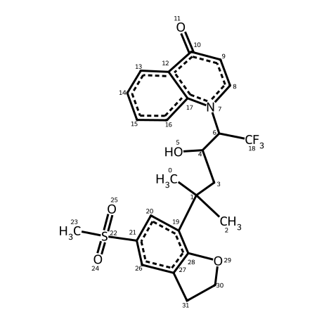 CC(C)(CC(O)C(n1ccc(=O)c2ccccc21)C(F)(F)F)c1cc(S(C)(=O)=O)cc2c1OCC2